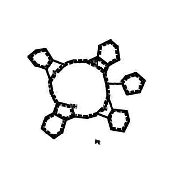 [Pt].c1ccc(-c2c3nc(cc4[nH]c(cc5nc(cc6[nH]c2c2ccccc62)-c2ccccc2-5)c2ccccc42)-c2ccccc2-3)cc1